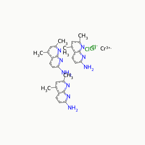 Cc1cc(C)c2ccc(N)nc2n1.Cc1cc(C)c2ccc(N)nc2n1.Cc1cc(C)c2ccc(N)nc2n1.[Cl-].[Cl-].[Cl-].[Cr+3]